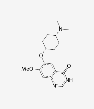 COc1cc2nc[nH]c(=O)c2cc1O[C@H]1CC[C@@H](N(C)C)CC1